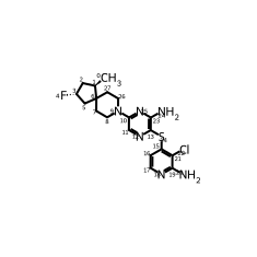 C[C@@H]1C[C@@H](F)CC12CCN(c1cnc(Sc3ccnc(N)c3Cl)c(N)n1)CC2